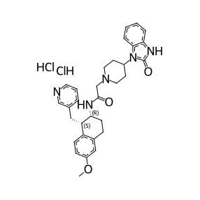 COc1ccc2c(c1)CC[C@@H](NC(=O)CN1CCC(n3c(=O)[nH]c4ccccc43)CC1)[C@H]2Cc1cccnc1.Cl.Cl